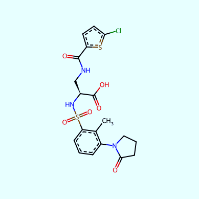 Cc1c(N2CCCC2=O)cccc1S(=O)(=O)N[C@@H](CNC(=O)c1ccc(Cl)s1)C(=O)O